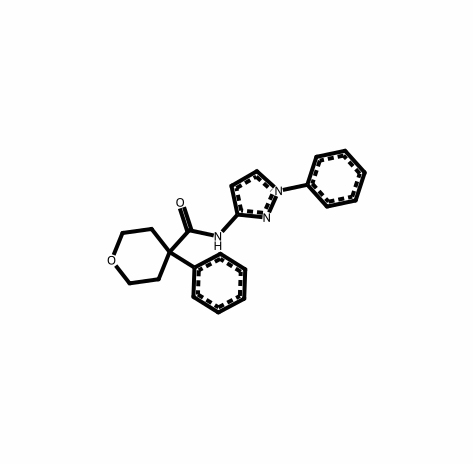 O=C(Nc1ccn(-c2ccccc2)n1)C1(c2ccccc2)CCOCC1